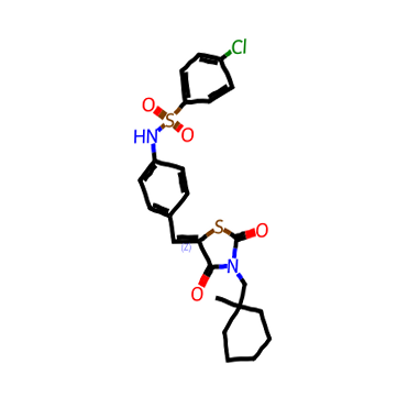 CC1(CN2C(=O)S/C(=C\c3ccc(NS(=O)(=O)c4ccc(Cl)cc4)cc3)C2=O)CCCCC1